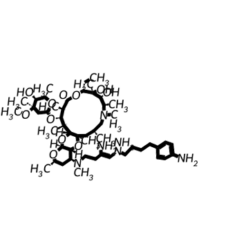 CC[C@H]1OC(=O)[C@H](C)[C@@H](O[C@H]2C[C@@](C)(OC)[C@@H](O)[C@H](C)O2)[C@H](C)[C@H]2O[C@@H]3O[C@H](C)C[C@H](N(C)CC/C(N)=C/N(N)CCCCc4ccc(N)cc4)[C@H]3O[C@]2(C)C[C@@H](C)CN(C)[C@H](C)[C@@H](O)[C@]1(C)O